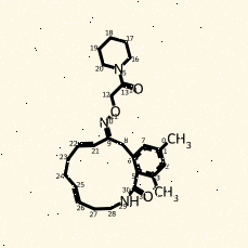 Cc1cc(C)c2c(c1)CC(=N\OCC(=O)N1CCCCC1)/C=C/CC/C=C/CCNC2=O